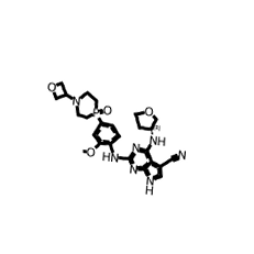 COc1cc(P2(=O)CCN(C3COC3)CC2)ccc1Nc1nc(N[C@@H]2CCOC2)c2c(C#N)c[nH]c2n1